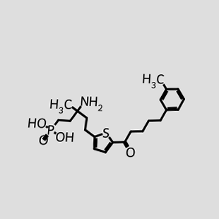 Cc1cccc(CCCCC(=O)c2ccc(CCC(C)(N)CCP(=O)(O)O)s2)c1